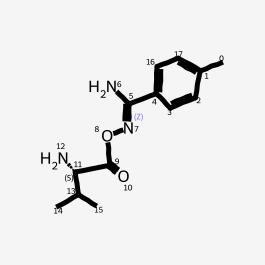 Cc1ccc(/C(N)=N/OC(=O)[C@@H](N)C(C)C)cc1